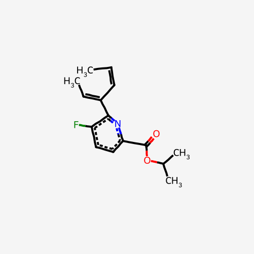 C/C=C\C(=C/C)c1nc(C(=O)OC(C)C)ccc1F